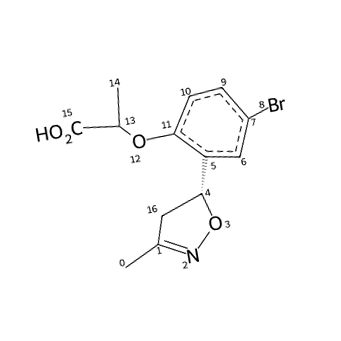 CC1=NO[C@@H](c2cc(Br)ccc2OC(C)C(=O)O)C1